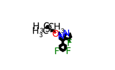 C[Si](C)(C)CCOCn1cc(-c2cc(F)cc(F)c2)c2c(F)ccnc21